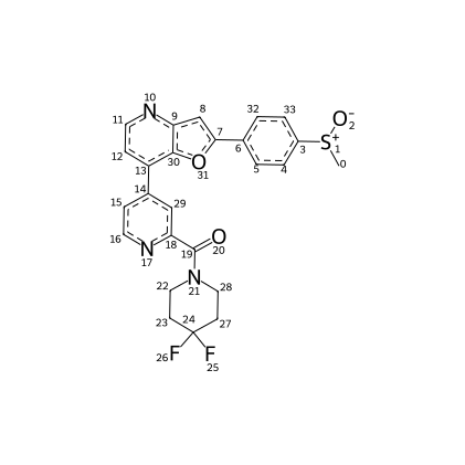 C[S+]([O-])c1ccc(-c2cc3nccc(-c4ccnc(C(=O)N5CCC(F)(F)CC5)c4)c3o2)cc1